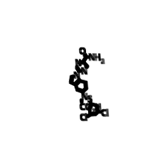 NC(=O)c1cnc(-n2ccc3cc(N(CC(=O)O)Sc4cc(Cl)cc(Cl)c4)ccc32)cn1